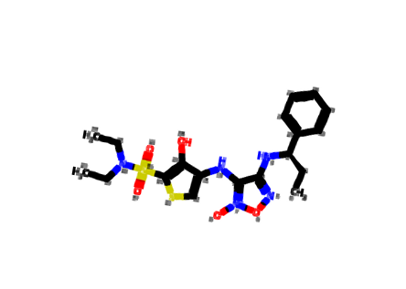 CC[C@@H](Nc1no[n+]([O-])c1Nc1csc(S(=O)(=O)N(CC)CC)c1O)c1ccccc1